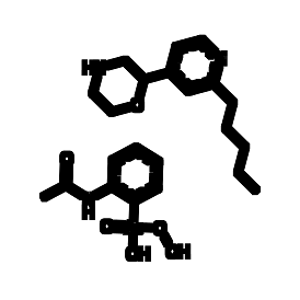 CC(=O)Nc1ccccc1[As](=O)(O)OO.CCCCCc1cc(C2CNCCO2)ccn1